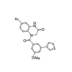 COc1cc(C(=O)N2CC(=O)Nc3cc(C(C)=O)ccc32)cc(-c2ccsc2)c1